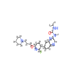 CC(C)NC(=O)N(C)c1cnc2ccc(-c3ccc(OCCCN4CCCCC4)nc3F)cc2n1